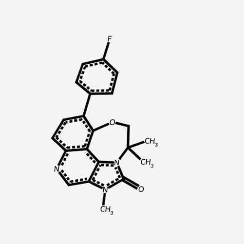 Cn1c(=O)n2c3c4c(c(-c5ccc(F)cc5)ccc4ncc31)OCC2(C)C